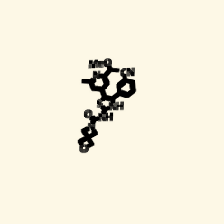 COC(C)c1cc(C2=C(c3cccc(C#N)c3)NC(NC(=O)N3CC4(COC4)C3)S2)cc(C)n1